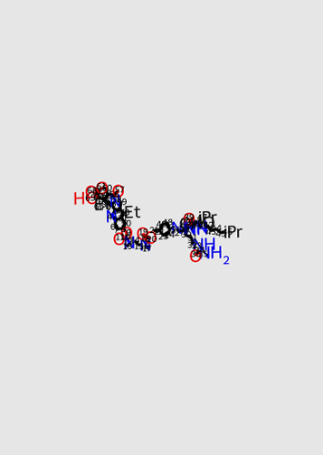 CCc1c2c(nc3ccc(OC(=O)N(C)CCN(C)C(=O)OCc4ccc(NCC(C=O)(CCCNC(N)=O)NC(=O)[C@@H](NCCCCC(C)C)C(C)C)cc4)cc13)-c1cc3c(c(=O)n1C2)COC(=O)[C@]3(O)CC